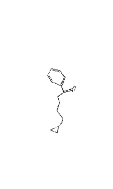 O=C(CCCCC1CC1)c1ccccc1